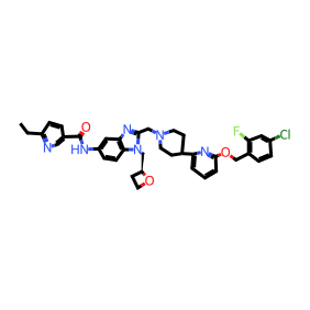 CCc1ccc(C(=O)Nc2ccc3c(c2)nc(CN2CCC(c4cccc(OCc5ccc(Cl)cc5F)n4)CC2)n3C[C@@H]2CCO2)cn1